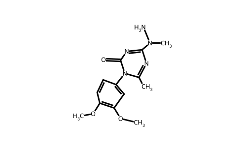 COc1ccc(-n2c(C)nc(N(C)N)nc2=O)cc1OC